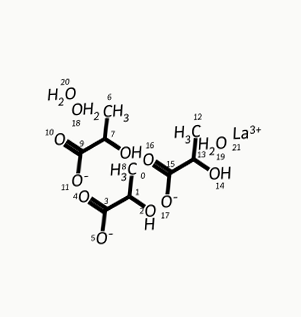 CC(O)C(=O)[O-].CC(O)C(=O)[O-].CC(O)C(=O)[O-].O.O.O.[La+3]